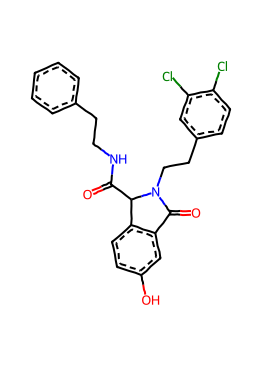 O=C(NCCc1ccccc1)C1c2ccc(O)cc2C(=O)N1CCc1ccc(Cl)c(Cl)c1